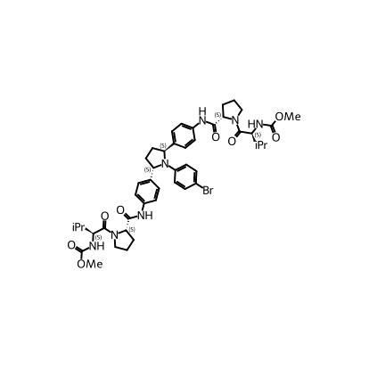 COC(=O)N[C@H](C(=O)N1CCC[C@H]1C(=O)Nc1ccc([C@@H]2CC[C@@H](c3ccc(NC(=O)[C@@H]4CCCN4C(=O)[C@@H](NC(=O)OC)C(C)C)cc3)N2c2ccc(Br)cc2)cc1)C(C)C